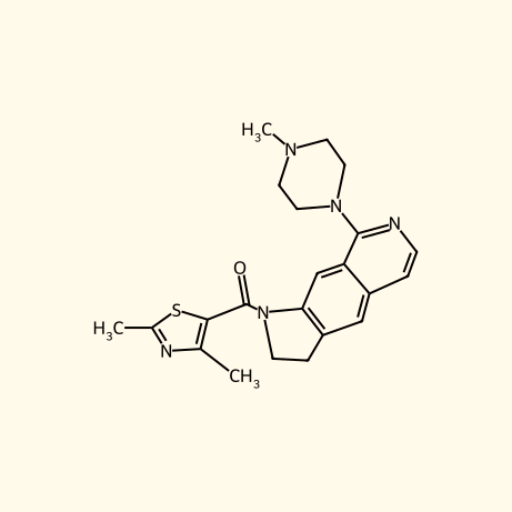 Cc1nc(C)c(C(=O)N2CCc3cc4ccnc(N5CCN(C)CC5)c4cc32)s1